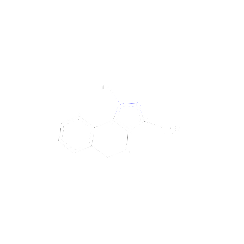 CC(C)n1nc(C(=O)O)c2c1-c1ccccc1CC2